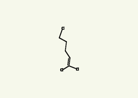 ClCCCC=C(Cl)Cl